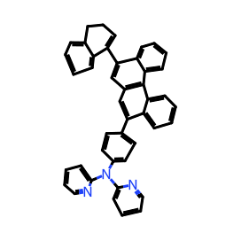 C1=C(c2cc3cc(-c4ccc(N(c5ccccn5)c5ccccn5)cc4)c4ccccc4c3c3ccccc23)c2ccccc2CC1